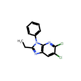 CCc1nc2cc(Cl)c(Cl)nc2n1-c1c[c]ccc1